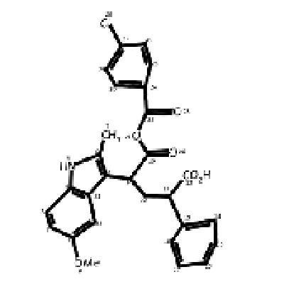 COc1ccc2[nH]c(C)c(C(CC(C(=O)O)c3ccccc3)C(=O)OC(=O)c3ccc(Cl)cc3)c2c1